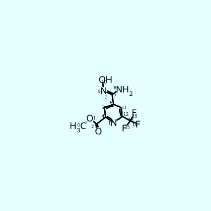 COC(=O)c1cc(/C(N)=N/O)cc(C(F)(F)F)n1